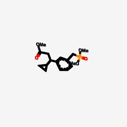 COC(=O)CC(c1cccc(CP(=O)(OC)OC)c1)C1CC1